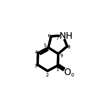 O=C1CCC=C2CNCC12